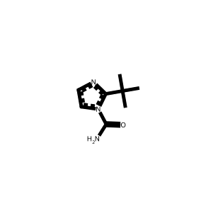 CC(C)(C)c1nccn1C(N)=O